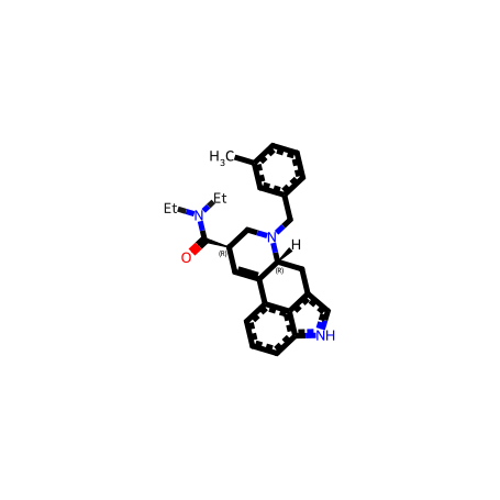 CCN(CC)C(=O)[C@@H]1C=C2c3cccc4[nH]cc(c34)C[C@H]2N(Cc2cccc(C)c2)C1